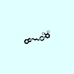 Clc1cccc(N2CCN(CC=CCn3cc4ccccc4c3)CC2)c1Cl